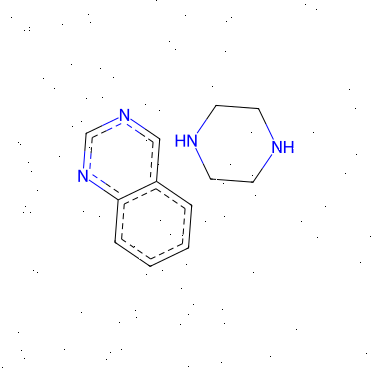 C1CNCCN1.c1ccc2ncncc2c1